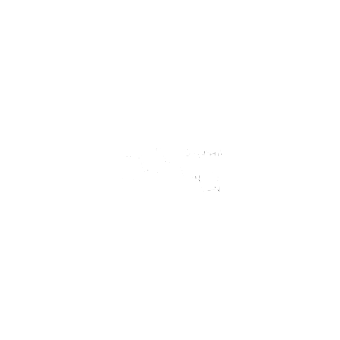 CCCCCSC(Cn1ccnc1)c1ccc2ccccc2c1